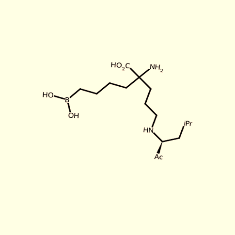 CC(=O)[C@H](CC(C)C)NCCCC(N)(CCCCB(O)O)C(=O)O